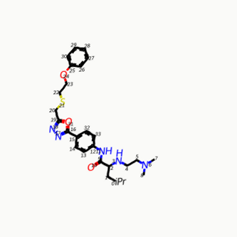 CC(C)CC(NCCN(C)C)C(=O)Nc1ccc(-c2nnc(CSCCOc3ccccc3)o2)cc1